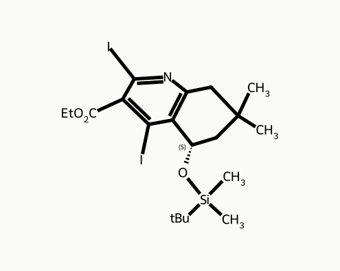 CCOC(=O)c1c(I)nc2c(c1I)[C@@H](O[Si](C)(C)C(C)(C)C)CC(C)(C)C2